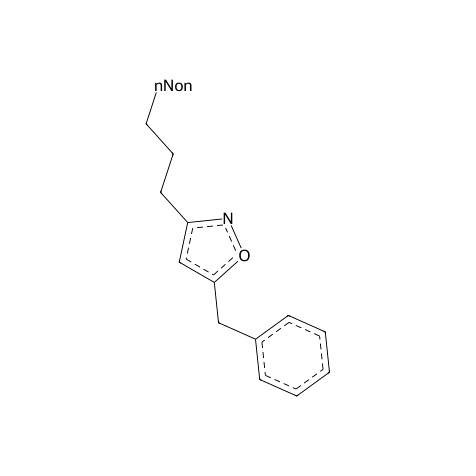 CCCCCCCCCCCCc1cc(Cc2ccccc2)on1